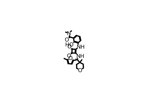 Cc1ccc([C@@H](Nc2c(Nc3cccc(C(=O)N(C)C)c3O)c(=O)c2=O)C2(C)CCOCC2)o1